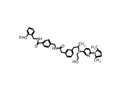 CCOc1ccccc1CNC(=O)c1ccc(CNC(=O)Cc2cccc(CC(C)N(CCO)c3ccc(-n4c(C)ccc4C)nc3)c2)cc1